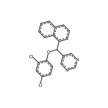 Clc1ccc(OC(c2cncnc2)c2cccc3ccccc23)c(Cl)c1